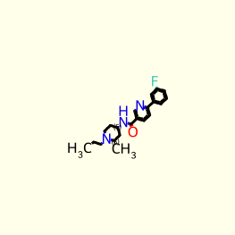 CCCN1CC[C@H](NC(=O)c2ccc(-c3cccc(F)c3)nc2)C[C@@H]1C